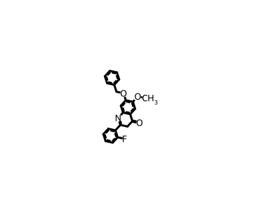 COc1cc2c(cc1OCc1ccccc1)N=C(c1ccccc1F)CC2=O